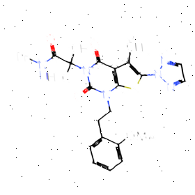 COc1ccccc1CCn1c(=O)n(C(C)(C)C(=O)NC(C)C)c(=O)c2c(C)c(-n3nccn3)sc21